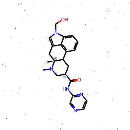 CN1C[C@H](C(=O)Nc2cnccn2)CC2c3cccc4c3c(cn4CO)C[C@H]21